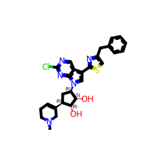 CN1CCC=C([C@H]2C[C@@H](n3cc(-c4nc(Cc5ccccc5)cs4)c4cnc(Cl)nc43)[C@H](O)[C@@H]2O)C1